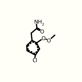 COOc1cc(Cl)ccc1CC(N)=O